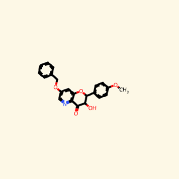 COc1ccc(C2Oc3cc(OCc4ccccc4)cnc3C(=O)C2O)cc1